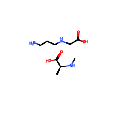 CN[C@@H](C)C(=O)O.NCCCNCC(=O)O